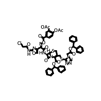 CC(=O)Oc1ccc(C(=O)O/N=C(\C(=O)N[C@@H]2C(=O)N3C(C(=O)OC(c4ccccc4)c4ccccc4)=C(CSc4nnnn4CC(=O)OC(c4ccccc4)c4ccccc4)CS[C@@H]23)c2coc(NC(=O)CCl)n2)cc1OC(C)=O